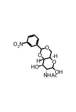 CC(=O)N[C@H]1C(O)O[C@@H]2COC(c3cccc([N+](=O)[O-])c3)O[C@H]2[C@@H]1O